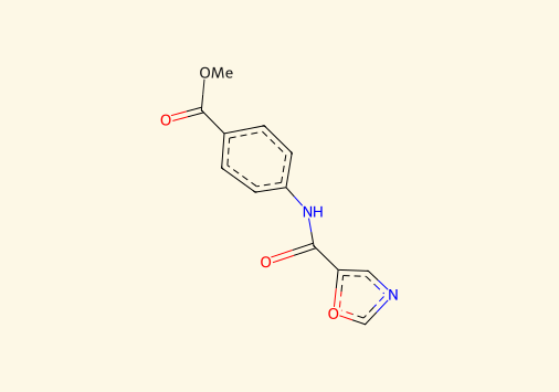 COC(=O)c1ccc(NC(=O)c2cnco2)cc1